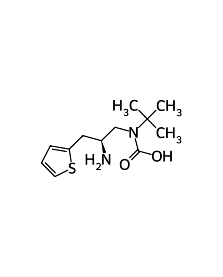 CC(C)(C)N(C[C@@H](N)Cc1cccs1)C(=O)O